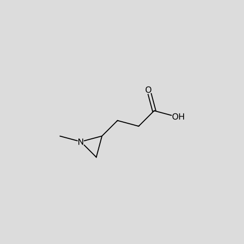 CN1CC1CCC(=O)O